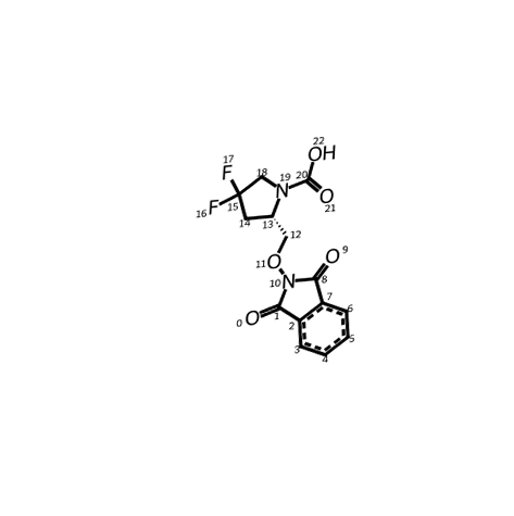 O=C1c2ccccc2C(=O)N1OC[C@@H]1CC(F)(F)CN1C(=O)O